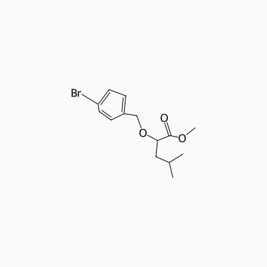 COC(=O)C(CC(C)C)OCc1ccc(Br)cc1